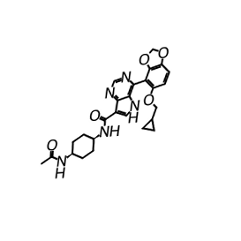 CC(=O)N[C@H]1CC[C@@H](NC(=O)c2c[nH]c3c(-c4c(OCC5CC5)ccc5c4OCO5)ncnc23)CC1